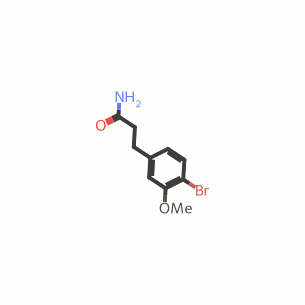 COc1cc(CCC(N)=O)ccc1Br